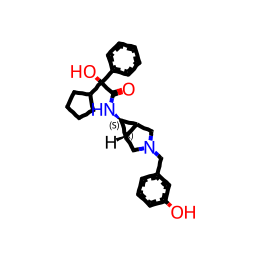 O=C(N[C@H]1C2CN(Cc3cccc(O)c3)C[C@@H]21)C(O)(c1ccccc1)C1CCCC1